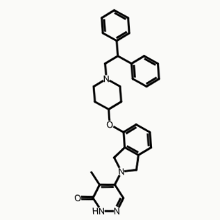 Cc1c(N2Cc3cccc(OC4CCN(CC(c5ccccc5)c5ccccc5)CC4)c3C2)cn[nH]c1=O